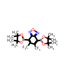 CC1(C)OB(c2c(C(F)(F)F)c(C(F)(F)F)c(B3OC(C)(C)C(C)(C)O3)c3nonc23)OC1(C)C